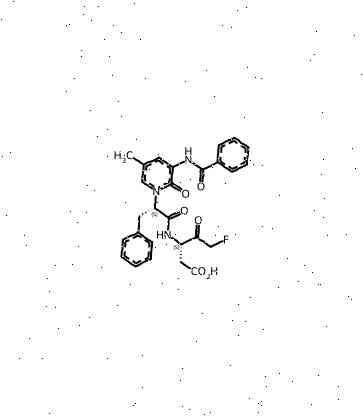 Cc1cc(NC(=O)c2ccccc2)c(=O)n([C@@H](Cc2ccccc2)C(=O)N[C@@H](CC(=O)O)C(=O)CF)c1